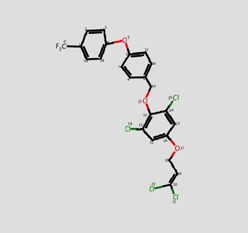 FC(F)(F)c1ccc(Oc2ccc(COc3c(Cl)cc(OCC=C(Cl)Cl)cc3Cl)cc2)cc1